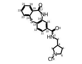 O=C(NCC1CCN(Cl)C1)c1ccc2c(c1)NC(=O)c1ccccc1S2